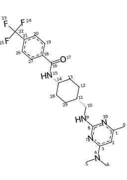 Cc1cc(N(C)C)nc(NC[C@H]2CC[C@@H](NC(=O)c3ccc(C(F)(F)F)cc3)CC2)n1